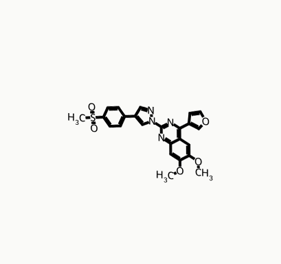 COc1cc2nc(-n3cc(-c4ccc(S(C)(=O)=O)cc4)cn3)nc(-c3ccoc3)c2cc1OC